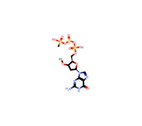 CCOC1C[C@H](n2cnc3c(=O)[nH]c(N)nc32)O[C@@H]1COP(=O)(O)O[PH](=O)OP(C)(=O)O